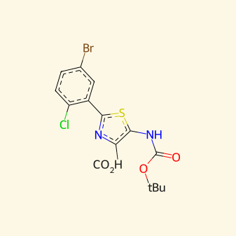 CC(C)(C)OC(=O)Nc1sc(-c2cc(Br)ccc2Cl)nc1C(=O)O